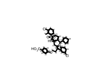 Cc1c(Cl)cccc1S(=O)(=O)NCCc1c(CCOc2ccc(C(=O)O)cc2)c2cc(Cl)ccc2n1C(c1ccccc1)c1ccccc1